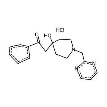 Cl.O=C(CC1(O)CCN(Cc2ncccn2)CC1)c1ccccc1